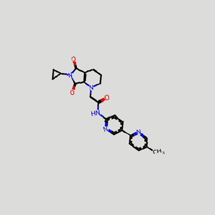 Cc1ccc(-c2ccc(NC(=O)CN3CCCC4=C3C(=O)N(C3CC3)C4=O)nc2)nc1